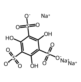 O=S(=O)([O-])c1c(O)c(S(=O)(=O)[O-])c(O)c(S(=O)(=O)[O-])c1O.[Na+].[Na+].[Na+]